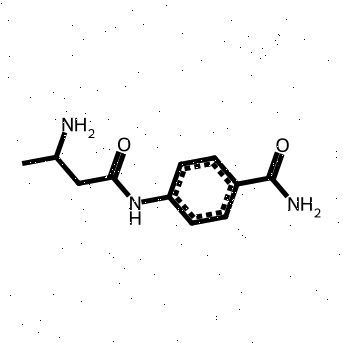 CC(N)CC(=O)Nc1ccc(C(N)=O)cc1